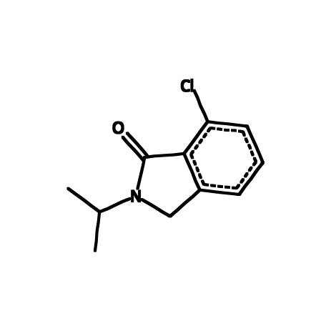 CC(C)N1Cc2cccc(Cl)c2C1=O